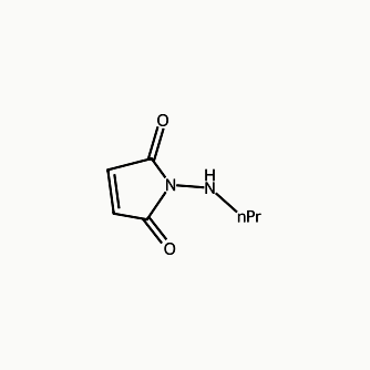 [CH2]CCNN1C(=O)C=CC1=O